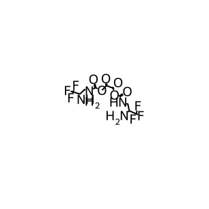 NC(CNC(=O)OC(=O)C(=O)OC(=O)NCC(N)C(F)(F)F)C(F)(F)F